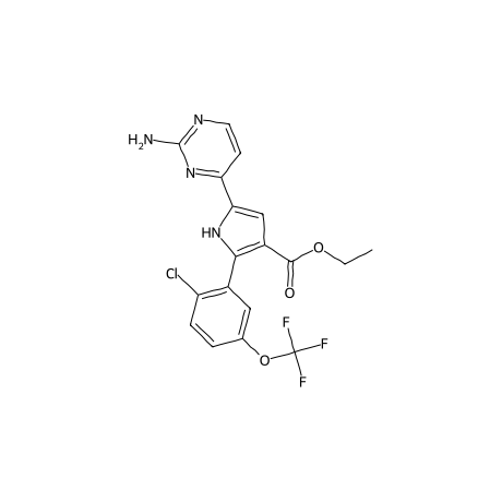 CCOC(=O)c1cc(-c2ccnc(N)n2)[nH]c1-c1cc(OC(F)(F)F)ccc1Cl